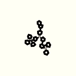 c1ccc(-n2c3ccccc3c3c(-c4cccc(N(c5ccc(-c6ccc7ccccc7c6)cc5)c5ccc([Si](c6ccccc6)(c6ccccc6)c6ccccc6)cc5)c4)cccc32)cc1